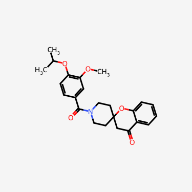 COc1cc(C(=O)N2CCC3(CC2)CC(=O)c2ccccc2O3)ccc1OC(C)C